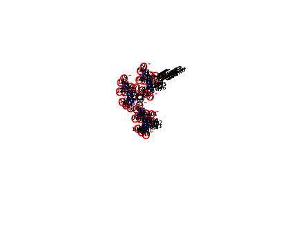 CCOC(Cc1ccccc1)(CN(CCN(CC(=O)[O-])CC(=O)[O-])CC(=O)[O-])N(CC(=O)[O-])CC(=O)[O-].CCOC(Cc1ccccc1)(CN(CCN(CC(=O)[O-])CC(=O)[O-])CC(=O)[O-])N(CC(=O)[O-])CC(=O)[O-].CCOC(Cc1ccccc1)(CN(CCN(CC(=O)[O-])CC(=O)[O-])CC(=O)[O-])N(CC(=O)[O-])CC(=O)[O-].[Gd+3].[Gd+3].[Gd+3].[Gd+3].[Gd+3]